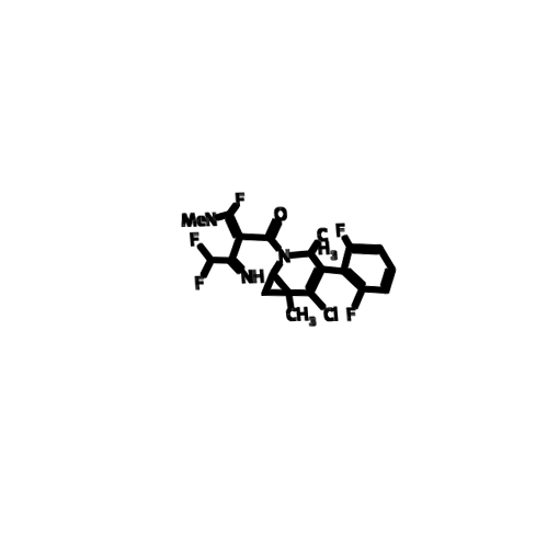 CN/C(F)=C(\C(=N)C(F)F)C(=O)N1C(C)C(c2c(F)cccc2F)=C(Cl)C2(C)CC12